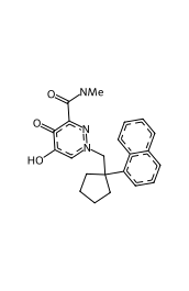 CNC(=O)c1nn(CC2(c3cccc4ccccc34)CCCC2)cc(O)c1=O